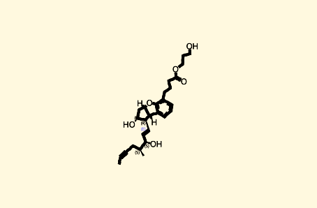 CC#CC[C@H](C)[C@H](O)/C=C/[C@@H]1[C@H]2c3cccc(CCCC(=O)OCCCO)c3O[C@H]2C[C@H]1O